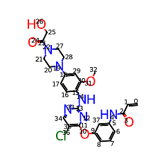 C=CC(=O)Nc1cccc(Oc2nc(Nc3ccc(N4CCN(C(=O)CO)CC4)cc3OC)ncc2Cl)c1